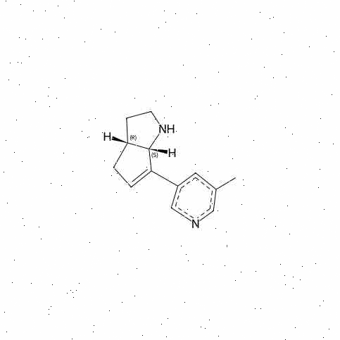 Cc1cncc(C2=CC[C@@H]3CCN[C@H]23)c1